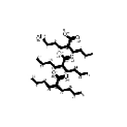 CCCCC(CCCC)C(=O)[O-].CCCCC(CCCC)C(=O)[O-].CCCCC(CCCC)C(=O)[O-].[Al+3]